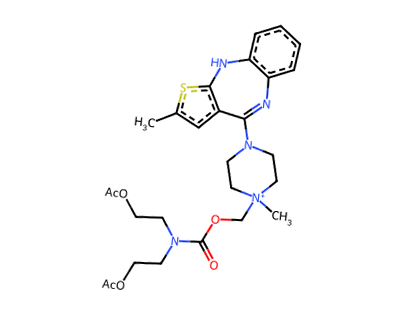 CC(=O)OCCN(CCOC(C)=O)C(=O)OC[N+]1(C)CCN(C2=Nc3ccccc3Nc3sc(C)cc32)CC1